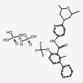 Cc1c(-c2ccccc2)ccc(OC(F)(F)F)c1C(=O)Nc1ccc(N2CC(C)OC(C)C2)nc1.O=P(O)(O)O.O=P(O)(O)O